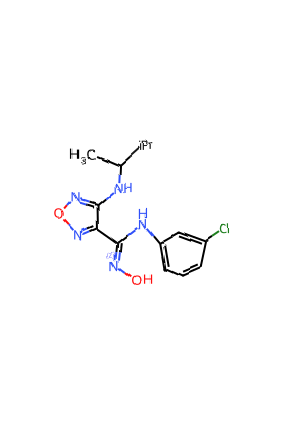 CC(C)C(C)Nc1nonc1/C(=N/O)Nc1cccc(Cl)c1